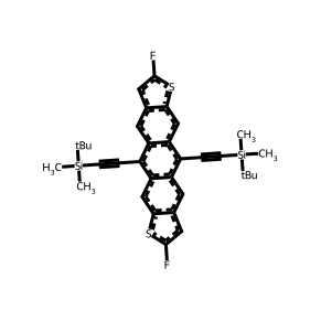 CC(C)(C)[Si](C)(C)C#Cc1c2cc3cc(F)sc3cc2c(C#C[Si](C)(C)C(C)(C)C)c2cc3cc(F)sc3cc12